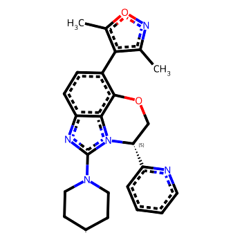 Cc1noc(C)c1-c1ccc2nc(N3CC[CH]CC3)n3c2c1OC[C@@H]3c1ccccn1